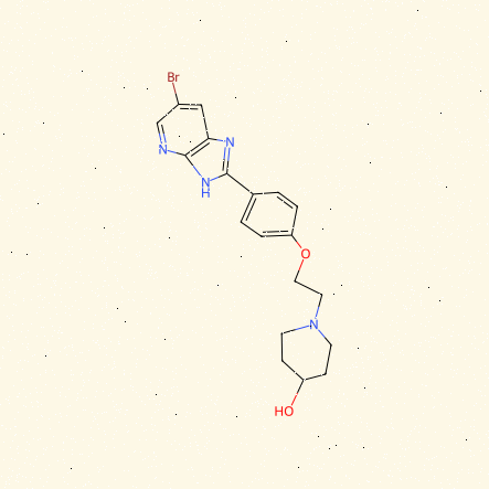 OC1CCN(CCOc2ccc(-c3nc4cc(Br)cnc4[nH]3)cc2)CC1